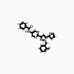 O=C(Nc1cnc(-c2cc(C3=NC=CC3)n(Cc3ccccc3F)n2)nc1)c1ccccc1